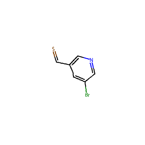 S=Cc1cncc(Br)c1